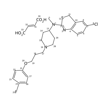 CN(C1=Nc2ccc(Cl)cc2CS1)C1CCN(CCCOc2ccc(F)cc2)CC1.O=C(O)C=CC(=O)O